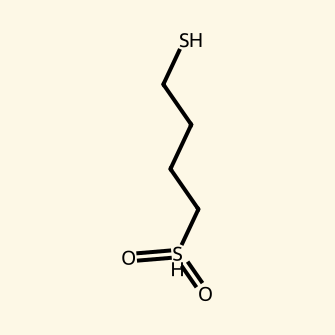 O=[SH](=O)CCCCS